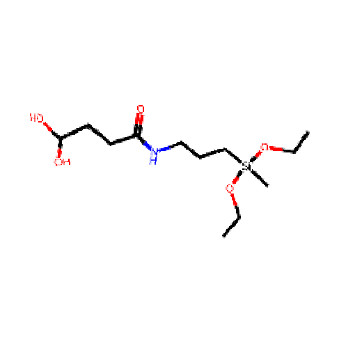 CCO[Si](C)(CCCNC(=O)CCC(O)O)OCC